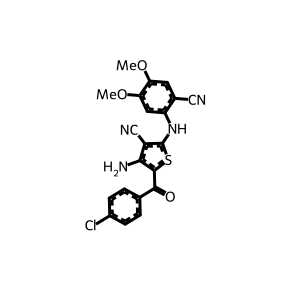 COc1cc(C#N)c(Nc2sc(C(=O)c3ccc(Cl)cc3)c(N)c2C#N)cc1OC